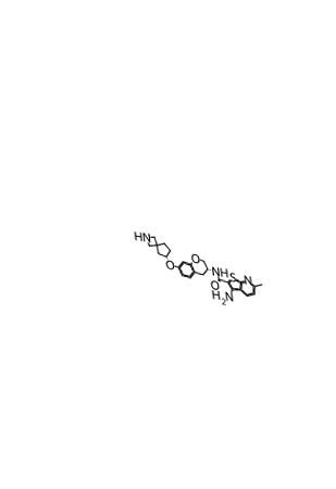 Cc1ccc2c(N)c(C(=O)N[C@H]3COc4cc(O[C@H]5CCC6(CNC6)C5)ccc4C3)sc2n1